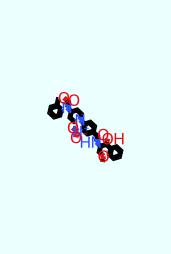 COCC(NC(=O)c1ccc(N2CCC(N3C(=O)OCc4ccccc43)CC2)c([N+](=O)[O-])c1)C(O)c1ccccc1